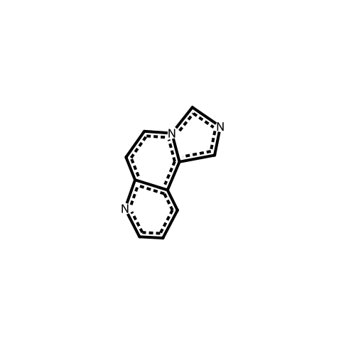 c1cnc2ccn3cncc3c2c1